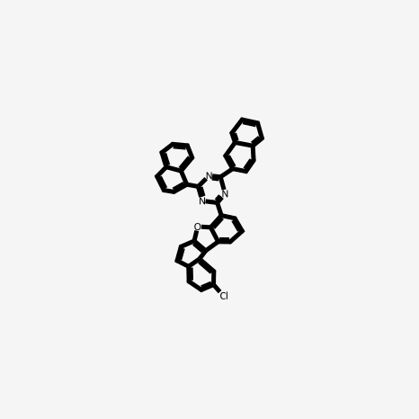 Clc1ccc2ccc3oc4c(-c5nc(-c6ccc7ccccc7c6)nc(-c6cccc7ccccc67)n5)cccc4c3c2c1